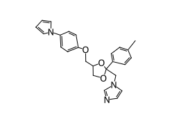 Cc1ccc(C2(Cn3ccnc3)OCC(COc3ccc(-n4cccc4)cc3)O2)cc1